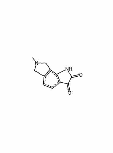 CN1Cc2ccc3c(c2C1)NC(=O)C3=O